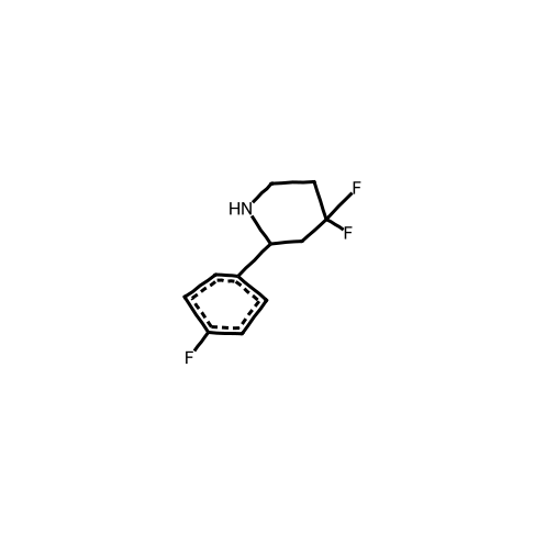 Fc1ccc(C2CC(F)(F)CCN2)cc1